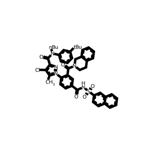 CCCCN(C(=O)c1nn(-c2ccc(C(=O)NS(=O)(=O)c3ccc4ccccc4c3)cc2C(=O)N2CCc3ccccc3C2)c(C)c1Cl)c1cccc(C(C)(C)C)c1